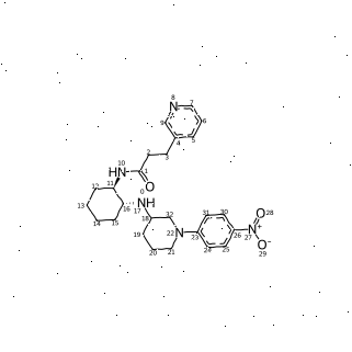 O=C(CCc1cccnc1)N[C@@H]1CCCC[C@H]1NC1CCCN(c2ccc([N+](=O)[O-])cc2)C1